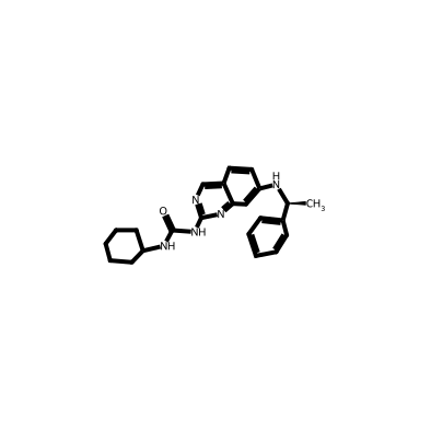 C[C@H](Nc1ccc2cnc(NC(=O)NC3CCCCC3)nc2c1)c1ccccc1